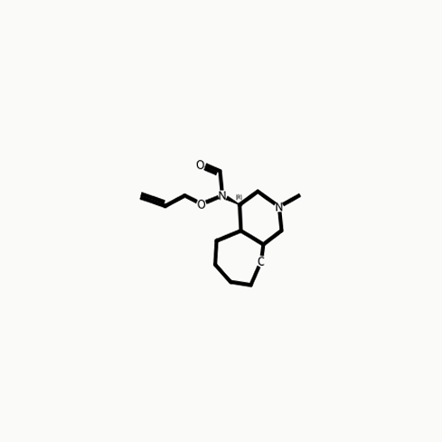 C=CCON(C=O)[C@H]1CN(C)CC2CCCCCC21